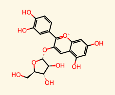 OC[C@H]1O[C@H](Oc2cc3c(O)cc(O)cc3[o+]c2-c2ccc(O)c(O)c2)[C@@H](O)[C@@H]1O